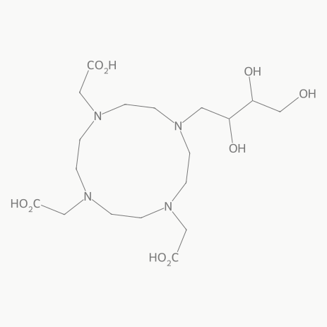 O=C(O)CN1CCN(CC(=O)O)CCN(CC(O)C(O)CO)CCN(CC(=O)O)CC1